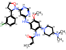 C=CC(=O)Nc1cc(Nc2cc(N3OCCC3c3cccc(Cl)c3)ncn2)c(OC)cc1N1CCC(N(C)C)CC1